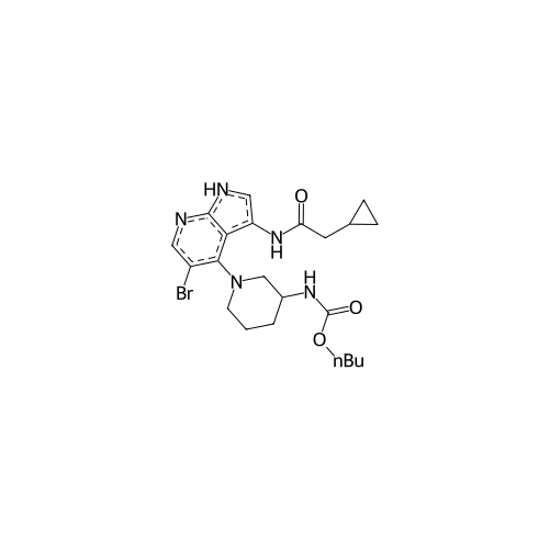 CCCCOC(=O)NC1CCCN(c2c(Br)cnc3[nH]cc(NC(=O)CC4CC4)c23)C1